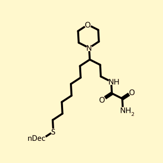 CCCCCCCCCCSCCCCCCCC(CCNC(=O)C(N)=O)N1CCOCC1